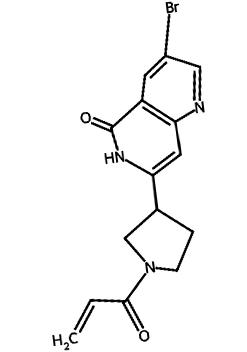 C=CC(=O)N1CCC(c2cc3ncc(Br)cc3c(=O)[nH]2)C1